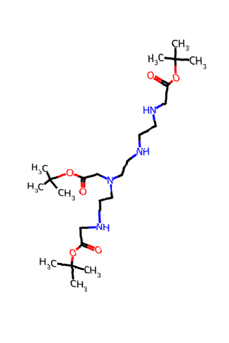 CC(C)(C)OC(=O)CNCCNCCN(CCNCC(=O)OC(C)(C)C)CC(=O)OC(C)(C)C